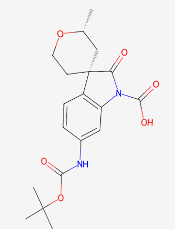 C[C@@H]1C[C@]2(CCO1)C(=O)N(C(=O)O)c1cc(NC(=O)OC(C)(C)C)ccc12